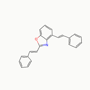 C(=Cc1nc2c(C=Cc3ccccc3)cccc2o1)c1ccccc1